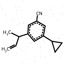 C=C[C](C)c1cc(C#N)cc(C2CC2)c1